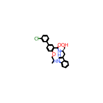 CCCOc1ccc(-c2cccc(Cl)c2)cc1C(=O)N[C@@H](CO)Cc1c[nH]c2ccccc12